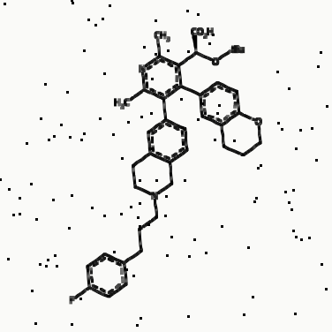 Cc1nc(C)c([C@H](OC(C)(C)C)C(=O)O)c(-c2ccc3c(c2)CCCO3)c1-c1ccc2c(c1)CCN(CCCc1ccc(F)cc1)C2